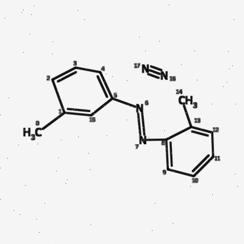 Cc1cccc(N=Nc2ccccc2C)c1.N#N